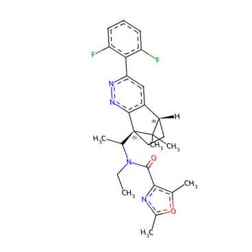 CCN(C(=O)c1nc(C)oc1C)C(C)[C@@]12CC[C@@H](c3cc(-c4c(F)cccc4F)nnc31)C2(C)C